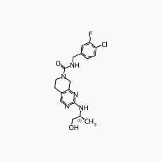 C[C@@H](CO)Nc1ncc2c(n1)CN(C(=O)NCc1ccc(Cl)c(F)c1)CC2